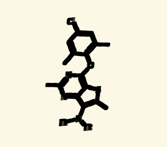 CCN(CC)c1c(C)sc2c(Oc3c(C)cc(Cl)cc3C)nc(C)nc12